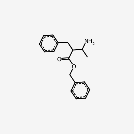 CC(N)C(Cc1ccccc1)C(=O)OCc1ccccc1